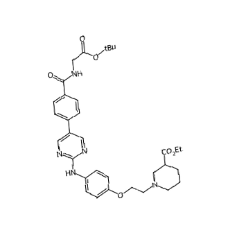 CCOC(=O)C1CCCN(CCOc2ccc(Nc3ncc(-c4ccc(C(=O)NCC(=O)OC(C)(C)C)cc4)cn3)cc2)C1